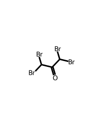 O=C(C(Br)Br)C(Br)Br